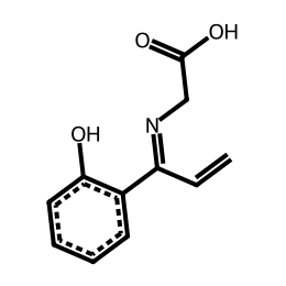 C=CC(=NCC(=O)O)c1ccccc1O